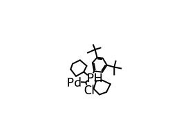 CC(C)(C)c1cc(C(C)(C)C)cc([PH]([CH](Cl)[Pd])(C2CCCCC2)C2CCCCC2)c1